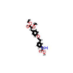 CCOC(=O)[C@H](Cc1ccc(OCCc2cccc(NC(=O)OC)c2)cc1)OCC